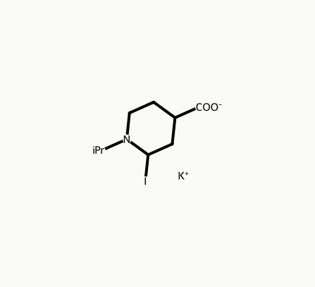 CC(C)N1CCC(C(=O)[O-])CC1I.[K+]